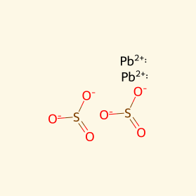 O=S([O-])[O-].O=S([O-])[O-].[Pb+2].[Pb+2]